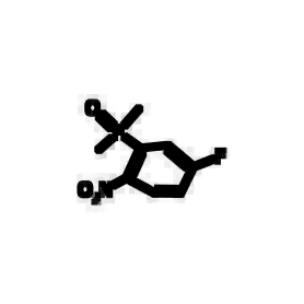 CP(C)(=O)c1cc(F)ccc1[N+](=O)[O-]